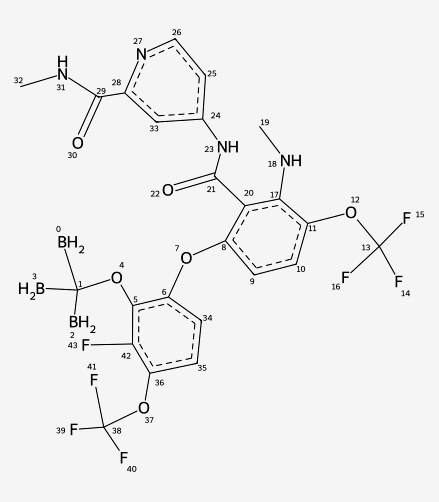 BC(B)(B)Oc1c(Oc2ccc(OC(F)(F)F)c(NC)c2C(=O)Nc2ccnc(C(=O)NC)c2)ccc(OC(F)(F)F)c1F